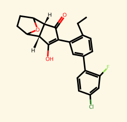 CCc1ccc(-c2ccc(Cl)cc2F)cc1C1=C(O)[C@@H]2C3CCC(O3)[C@@H]2C1=O